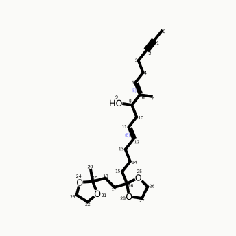 CC#CCC/C=C(\C)C(O)C/C=C/CCCC1(CCC2(C)OCCO2)OCCO1